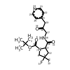 CC(C)(C)OC(=O)N1CC(F)(F)CC1C(=O)NCC(=O)Cc1ccncc1